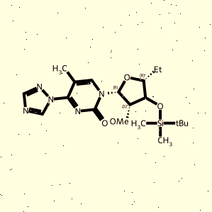 CC[C@H]1O[C@@H](n2cc(C)c(-n3cncn3)nc2=O)[C@@H](OC)C1O[Si](C)(C)C(C)(C)C